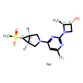 C[C@H]1[C@H](O)CN1c1nc(N2C[C@@H]3[C@H](C2)[C@@H]3[SH](C)(=O)[O-])cc(C(F)(F)F)n1.[Na+]